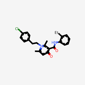 CCc1ccccc1NC(=O)c1c(C)n(CCc2ccc(Cl)cc2)c(C)cc1=O